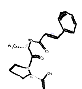 C[C@H](NC(=O)/C=C/c1ccccc1)C(=O)N1CCC[C@H]1C(=O)O